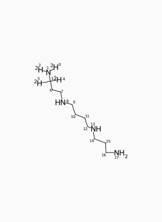 [2H]N([2H])C([2H])([2H])CCNCCCCNCCCN